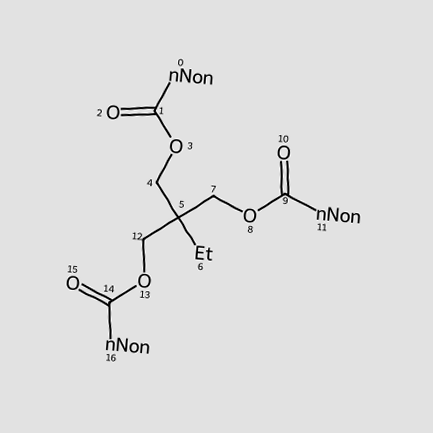 CCCCCCCCCC(=O)OCC(CC)(COC(=O)CCCCCCCCC)COC(=O)CCCCCCCCC